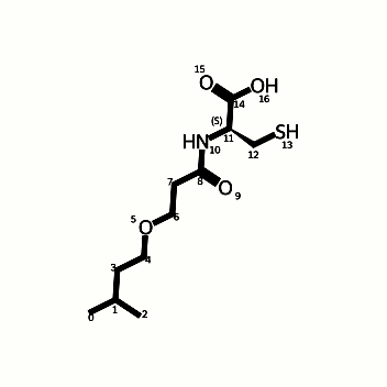 CC(C)CCOCCC(=O)N[C@H](CS)C(=O)O